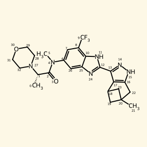 C[C@@H](C(=O)N(C)c1cc(C(F)(F)F)c2[nH]c(-c3n[nH]c4c3C3CC(C)(C4)C3)nc2c1)N1CCOCC1